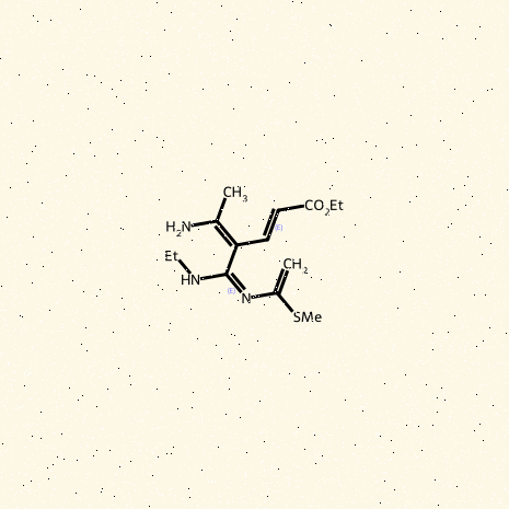 C=C(/N=C(/NCC)C(/C=C/C(=O)OCC)=C(C)N)SC